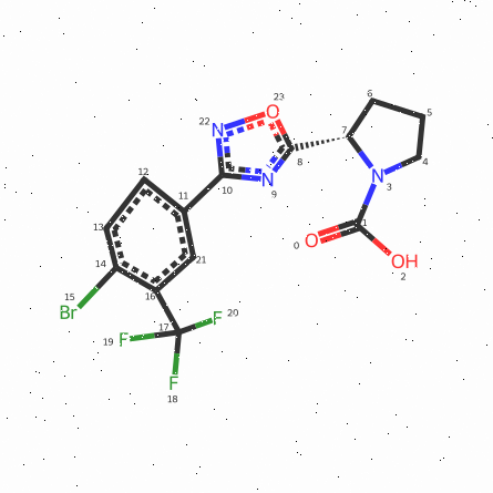 O=C(O)N1CCC[C@H]1c1nc(-c2ccc(Br)c(C(F)(F)F)c2)no1